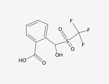 O=C(O)c1ccccc1C(O)S(=O)(=O)C(F)(F)F